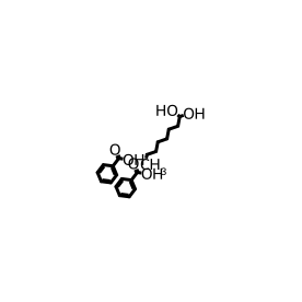 CCCCCCCC(O)O.O=C(O)c1ccccc1.O=C(O)c1ccccc1